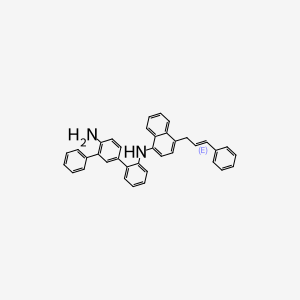 Nc1ccc(-c2ccccc2Nc2ccc(C/C=C/c3ccccc3)c3ccccc23)cc1-c1ccccc1